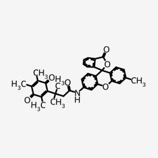 CC1=C(C)C(=O)C(C(C)(C)CC(=O)Nc2ccc3c(c2)Oc2cc(C)ccc2C32OC(=O)c3ccccc32)=C(C)C1=O